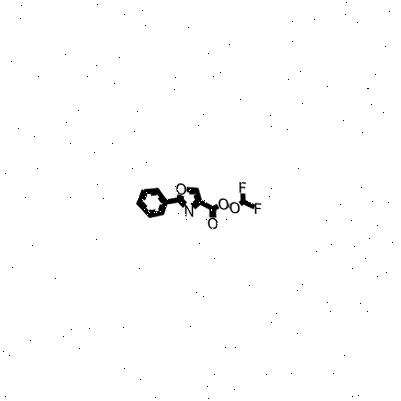 O=C(OOC(F)F)c1coc(-c2ccccc2)n1